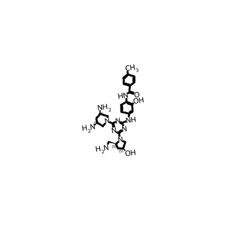 Cc1ccc(C(=O)Nc2ccc(Nc3nc(N4C[C@H](N)C[C@H](N)C4)nc(N4C[C@@H](O)C[C@H]4CN)n3)cc2O)cc1